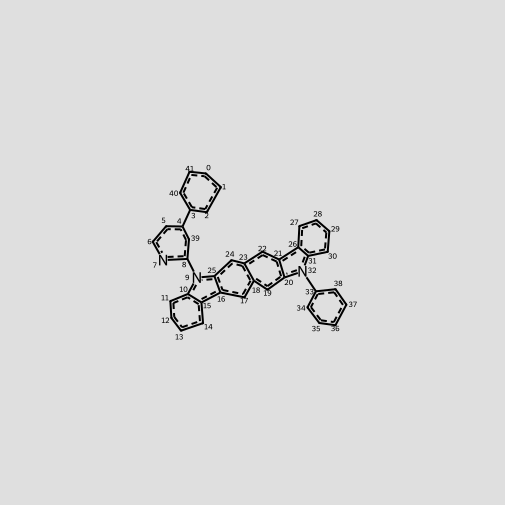 c1ccc(-c2ccnc(-n3c4ccccc4c4cc5cc6c(cc5cc43)c3ccccc3n6-c3ccccc3)c2)cc1